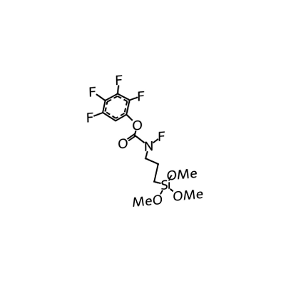 CO[Si](CCCN(F)C(=O)Oc1cc(F)c(F)c(F)c1F)(OC)OC